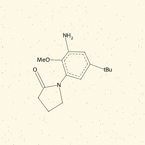 COc1c(N)cc(C(C)(C)C)cc1N1CCCC1=O